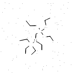 CCO[Si](CN(CC)[Si](CC)(CC)CC)(OCC)OCC